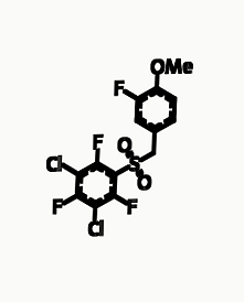 COc1ccc(CS(=O)(=O)c2c(F)c(Cl)c(F)c(Cl)c2F)cc1F